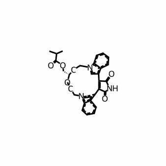 CC(C)C(=O)OC[C@@H]1CCn2cc(c3ccccc32)C2=C(C(=O)NC2=O)c2cn(c3ccccc23)CCO1